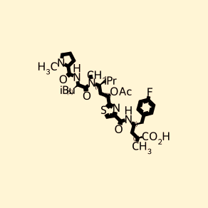 CC[C@H](C)C(NC(=O)C1CCCN1C)C(=O)N(C)[C@H](C[C@@H](OC(C)=O)c1nc(C(=O)N[C@@H](Cc2ccc(F)cc2)C[C@H](C)C(=O)O)cs1)C(C)C